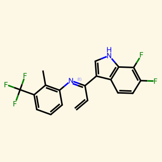 C=C/C(=N\c1cccc(C(F)(F)F)c1C)c1c[nH]c2c(F)c(F)ccc12